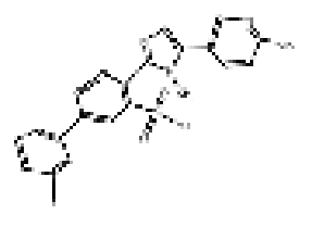 CCS(=O)(=O)c1cc(-c2cccc(F)c2)cnc1-c1ncc(-c2ccc(C(F)(F)F)nc2)n1C